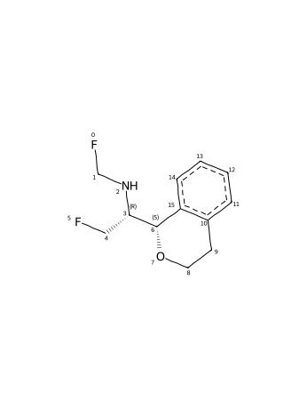 FCN[C@@H](CF)[C@H]1OCCc2ccccc21